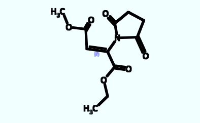 CCOC(=O)/C(=C/C(=O)OC)N1C(=O)CCC1=O